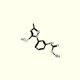 Cc1cc(C(=O)O)n(-c2cccc(NC(=O)OC(C)(C)C)c2)n1